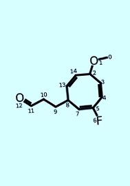 COC1/C=C\C(F)=C/C(CCC=O)/C=C\1